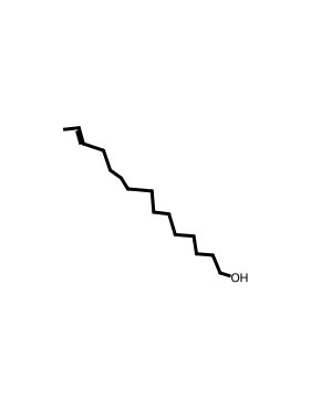 CC=CCCCCCCCCCCCCO